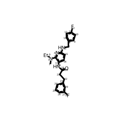 CCN(C)c1nc(NCc2ccc(F)cc2)ccc1NC(=O)CCc1cccc(F)c1